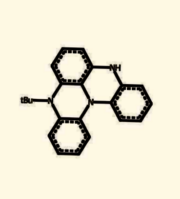 CC(C)(C)N1c2ccccc2N2c3ccccc3Nc3cccc1c32